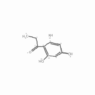 CCC(=O)c1ccc(O)cc1O.[KH]